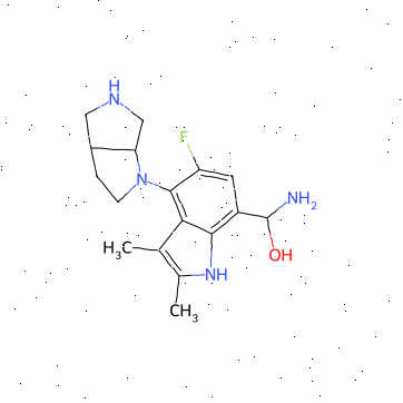 Cc1[nH]c2c(C(N)O)cc(F)c(N3CCC4CNCC43)c2c1C